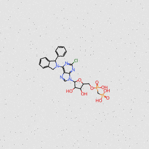 O=P(O)(O)CP(=O)(O)OCC1OC(n2cnc3c(N4Cc5ccccc5C4c4ccccc4)nc(Cl)nc32)C(O)C1O